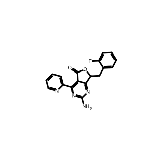 Nc1nc(-c2ccccn2)c2c(n1)C(Cc1ccccc1F)OC2=O